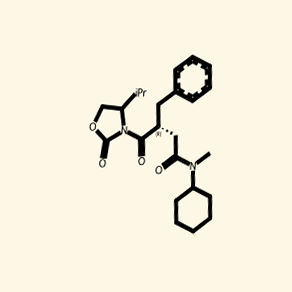 CC(C)C1COC(=O)N1C(=O)[C@@H](CC(=O)N(C)C1CCCCC1)Cc1ccccc1